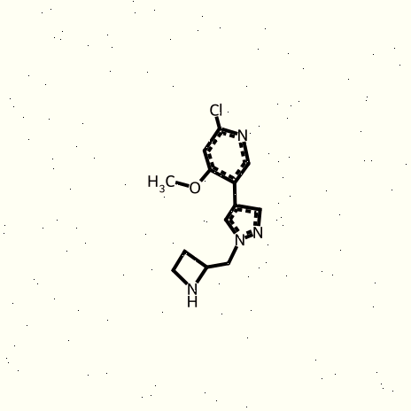 COc1cc(Cl)ncc1-c1cnn(CC2CCN2)c1